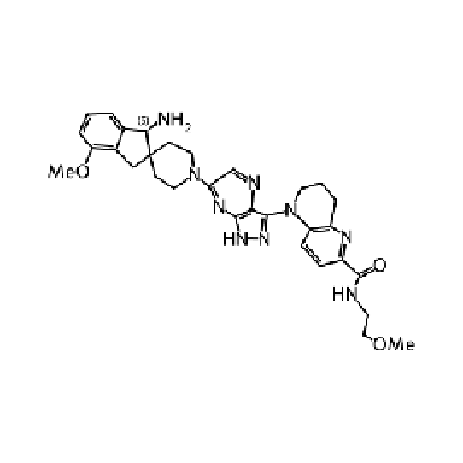 COCCNC(=O)c1ccc2c(n1)CCCN2c1n[nH]c2nc(N3CCC4(CC3)Cc3c(OC)cccc3[C@H]4N)cnc12